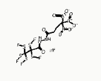 F.O=C(CCC([N+](=O)[O-])([N+](=O)[O-])[N+](=O)[O-])NNC(=O)C(SF)(SF)C(SF)(SF)SF